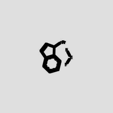 CCC[C]1C=Cc2ccccc21.[F][Ti][F]